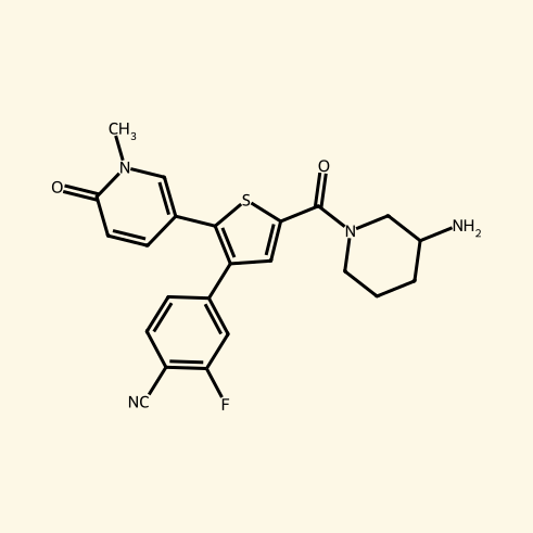 Cn1cc(-c2sc(C(=O)N3CCCC(N)C3)cc2-c2ccc(C#N)c(F)c2)ccc1=O